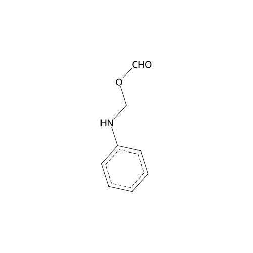 O=COCNc1ccccc1